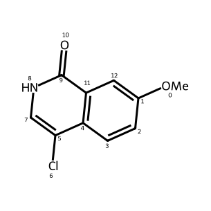 COc1ccc2c(Cl)c[nH]c(=O)c2c1